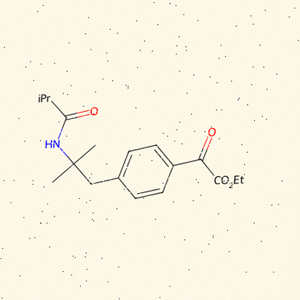 CCOC(=O)C(=O)c1ccc(CC(C)(C)NC(=O)C(C)C)cc1